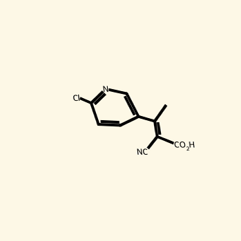 C/C(=C(/C#N)C(=O)O)c1ccc(Cl)nc1